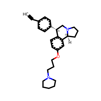 C#Cc1ccc([C@@H]2CN3CCC[C@H]3c3cc(OCCCN4CCCCC4)ccc32)cc1